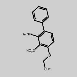 CC(=O)Nc1c(-c2ccccc2)ccc(OCC=O)c1C(=O)O